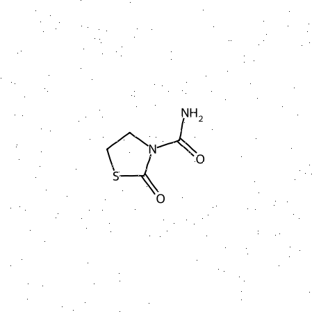 NC(=O)N1CCSC1=O